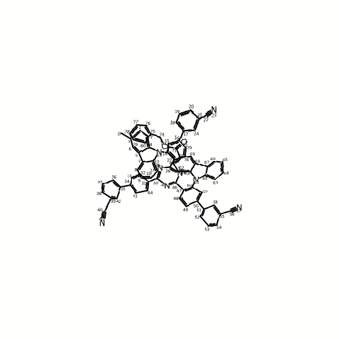 Cc1ccc2c(c1)c1ccccc1n2-c1cc(-c2cccc(C#N)c2)ccc1-c1nc(-c2ccc(-c3cccc(C#N)c3)cc2)nc(-c2ccc(-c3cccc(C#N)c3)cc2-n2c3ccccc3c3cc(C(=O)OCc4ccccc4)ccc32)n1